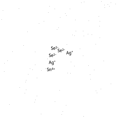 [Ag+].[Ag+].[Se-2].[Se-2].[Se-2].[Sn+4]